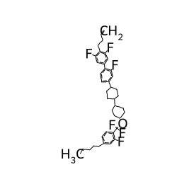 C=CCCc1c(F)cc(-c2ccc(C3CCC(C4CCC(OC(F)(F)c5ccc(CCCCC)cc5F)CC4)CC3)cc2F)cc1F